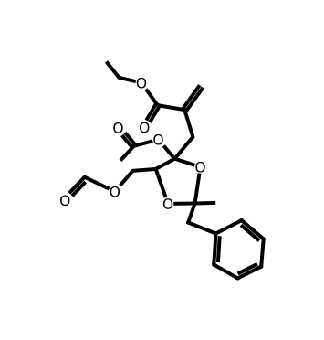 C=C(CC1(OC(C)=O)OC(C)(Cc2ccccc2)OC1COC=O)C(=O)OCC